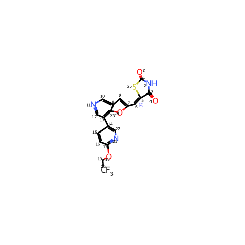 O=C1NC(=O)/C(=C/c2cc3cncc(-c4ccc(OCC(F)(F)F)nc4)c3o2)S1